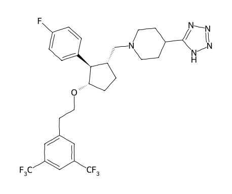 Fc1ccc([C@H]2[C@H](CN3CCC(c4nnn[nH]4)CC3)CC[C@@H]2OCCc2cc(C(F)(F)F)cc(C(F)(F)F)c2)cc1